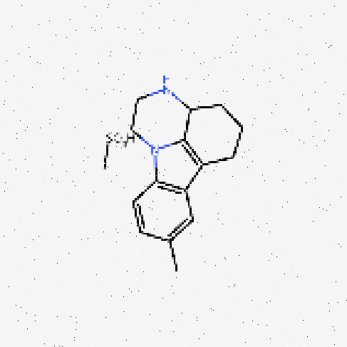 CS(=O)(=O)O.Cc1ccc2c(c1)c1c3n2CCNC3CCC1